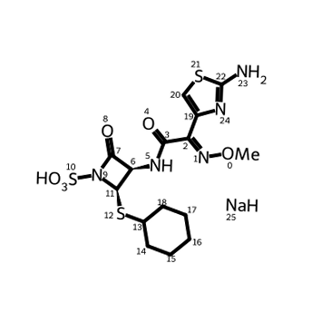 CON=C(C(=O)N[C@@H]1C(=O)N(S(=O)(=O)O)[C@@H]1SC1CCCCC1)c1csc(N)n1.[NaH]